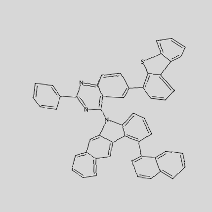 c1ccc(-c2nc(-n3c4cc5ccccc5cc4c4c(-c5cccc6ccccc56)cccc43)c3cc(-c4cccc5c4sc4ccccc45)ccc3n2)cc1